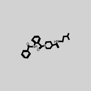 C=C(NCCC(C)C)C1CCN(C(=O)c2ccccc2NC(=O)c2ccccc2)CC1